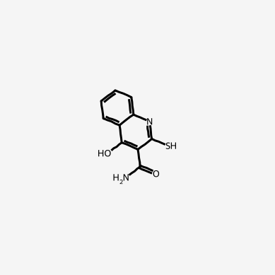 NC(=O)c1c(S)nc2ccccc2c1O